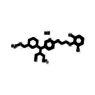 COCC1CCCN(C(c2ccc(OCCOc3c(Cl)cccc3Cl)nc2)C(C=O)CN)C1.Cl